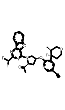 C#Cc1cnc(O[C@H]2C[C@@H](C(C)=O)N(c3nc(C(F)F)nc4c3oc3ccccc34)C2)c([C@]2(F)CCOC[C@@H]2C)c1